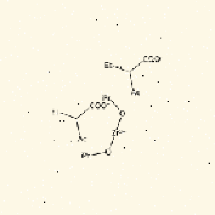 CC(C)[O][Zr+2][O]C(C)C.CCC(C(C)=O)C(=O)[O-].CCC(C(C)=O)C(=O)[O-]